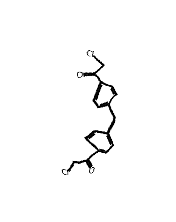 O=C(CCl)c1ccc(Cc2ccc(C(=O)CCl)cc2)cc1